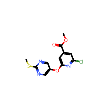 COC(=O)c1cc(Cl)nc(Oc2cnc(SC)nc2)c1